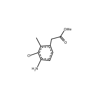 COC(=O)Cc1ccc(N)c(Cl)c1C